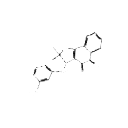 CC1(C)OC2=C(C(=O)C(=O)c3ccccc32)C1Nc1cccc([N+](=O)[O-])c1